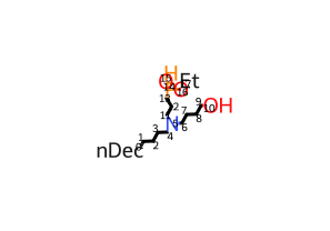 CCCCCCCCCCCCCCN(CCCCO)CCC[PH](=O)OCC